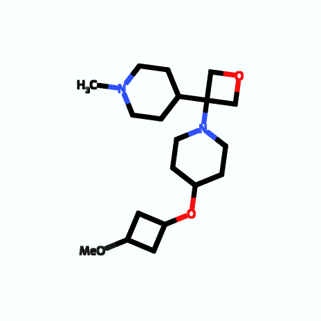 COC1CC(OC2CCN(C3(C4CCN(C)CC4)COC3)CC2)C1